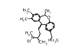 CCN(C)C(C)C/C=C1\c2cc(CC(=O)O)ccc2OC(C)c2cc(C)c(C)cc21